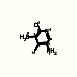 Bc1c(Cl)ncc(N)c1I